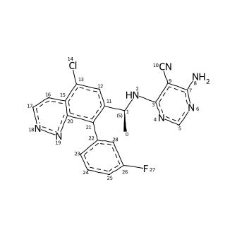 C[C@H](Nc1ncnc(N)c1C#N)c1cc(Cl)c2ccnnc2c1-c1cccc(F)c1